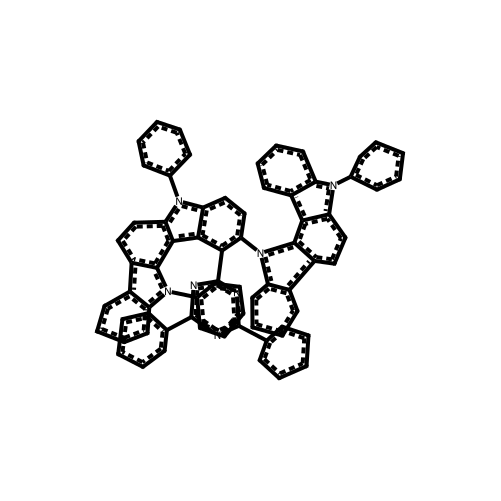 c1ccc(-c2nc(-c3ccccc3)nc(-c3c(-n4c5ccccc5c5ccc6c(c7ccccc7n6-c6ccccc6)c54)ccc4c3c3c(ccc5c6ccccc6n(-c6ccccc6)c53)n4-c3ccccc3)n2)cc1